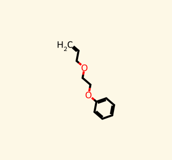 C=CCOCCOc1ccccc1